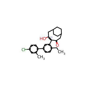 CCc1ccc(-c2ccc(Cl)cc2C)cc1/C1=C(\O)CC2CCC(CC2)CC1=O